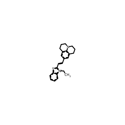 CC[n+]1c(C=Cc2cc3c4c(c2)CCCN4CCC3)sc2ccccc21